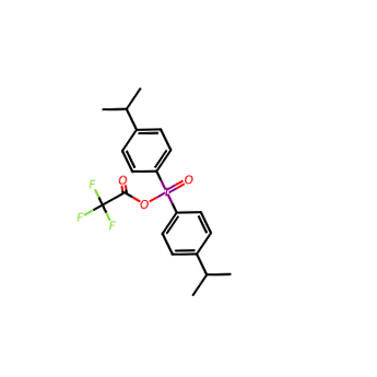 CC(C)c1ccc(I(=O)(OC(=O)C(F)(F)F)c2ccc(C(C)C)cc2)cc1